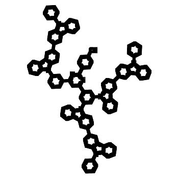 N#Cc1ccc(-c2nc(-c3cccc(-n4c5ccccc5c5cc(-c6ccc7c(c6)c6ccccc6n7-c6ccccc6)ccc54)c3)cc(-c3cc(-n4c5ccccc5c5cc(-c6ccc7c(c6)c6ccccc6n7-c6ccccc6)ccc54)cc(-n4c5ccccc5c5cc(-c6ccc7c(c6)c6ccccc6n7-c6ccccc6)ccc54)c3)n2)cc1